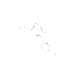 CCn1cc(-c2ccc(SC)c(C)c2)cn1